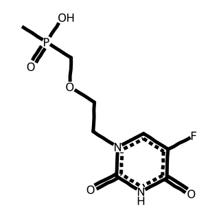 CP(=O)(O)COCCn1cc(F)c(=O)[nH]c1=O